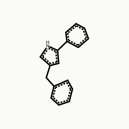 c1ccc(Cc2c[nH]c(-c3ccccc3)c2)cc1